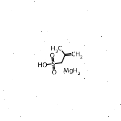 C=C(C)CS(=O)(=O)O.[MgH2]